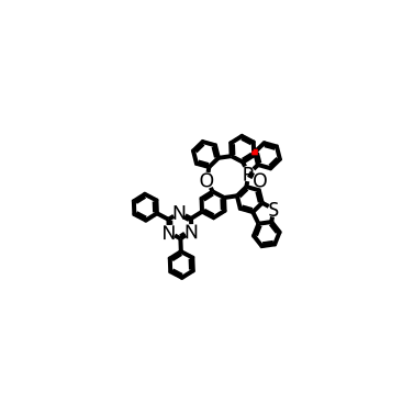 O=P1(c2ccccc2)c2ccccc2-c2ccccc2Oc2cc(-c3nc(-c4ccccc4)nc(-c4ccccc4)n3)ccc2-c2cc3c(cc21)sc1ccccc13